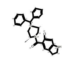 C[C@@H]1CN(C(c2ccccc2)c2ccccc2)CCN1C(=O)c1cc2c(cc1Cl)NCC2